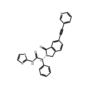 O=C(Nc1nccs1)[C@@H](c1ccccc1)N1Cc2ccc(C#Cc3cccnc3)cc2C1=O